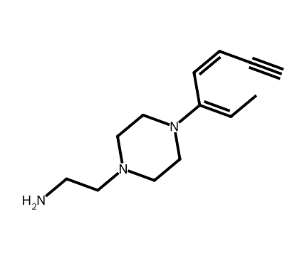 C#C/C=C\C(=C/C)N1CCN(CCN)CC1